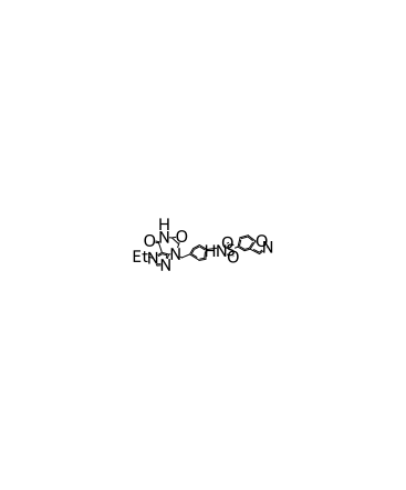 CCn1cnc2c1C(=O)NC1OC1N2Cc1ccc(CNS(=O)(=O)c2ccc3oncc3c2)cc1